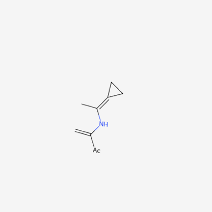 C=C(NC(C)=C1CC1)C(C)=O